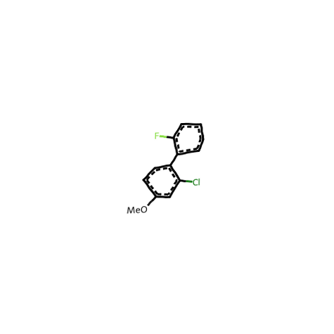 COc1ccc(-c2ccccc2F)c(Cl)c1